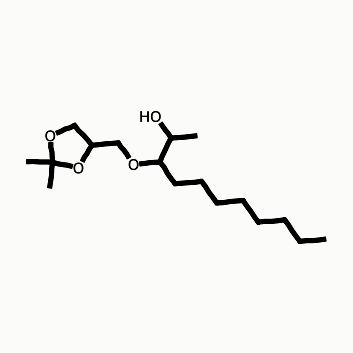 CCCCCCCCC(OCC1COC(C)(C)O1)C(C)O